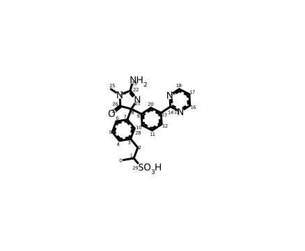 CC(Cc1cccc(C2(c3cccc(-c4ncccn4)c3)N=C(N)N(C)C2=O)c1)S(=O)(=O)O